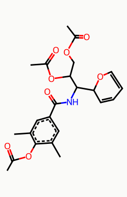 CC(=O)OCC(OC(C)=O)C(NC(=O)c1cc(C)c(OC(C)=O)c(C)c1)C1C=CC=CO1